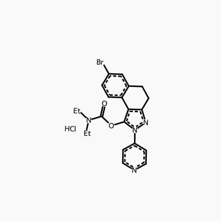 CCN(CC)C(=O)Oc1c2c(nn1-c1ccncc1)CCc1cc(Br)ccc1-2.Cl